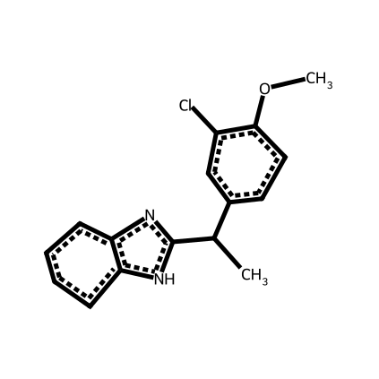 COc1ccc(C(C)c2nc3ccccc3[nH]2)cc1Cl